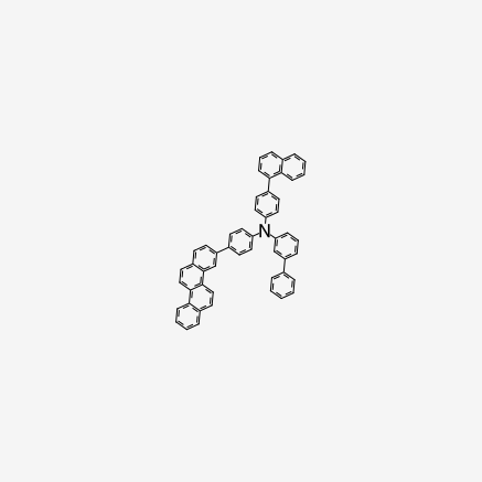 c1ccc(-c2cccc(N(c3ccc(-c4ccc5ccc6c7ccccc7ccc6c5c4)cc3)c3ccc(-c4cccc5ccccc45)cc3)c2)cc1